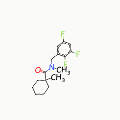 CN(Cc1cc(F)cc(F)c1F)C(=O)C1(C)CCCCC1